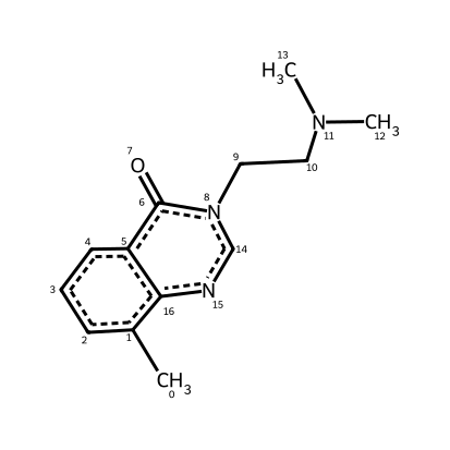 Cc1cccc2c(=O)n(CCN(C)C)cnc12